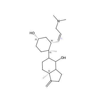 C=C1CCC2C(O)C([C@@]3(C)CC[C@H](O)C[C@@H]3/C=C\CN(C)C)CC[C@]12C